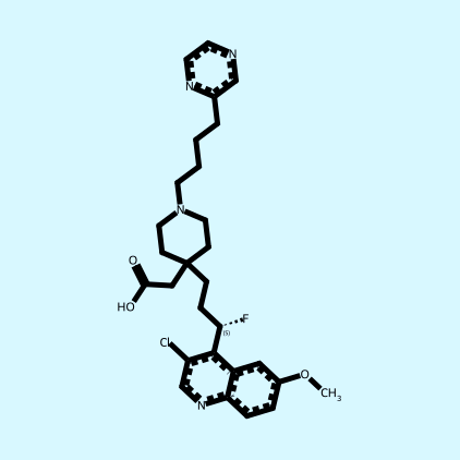 COc1ccc2ncc(Cl)c([C@@H](F)CCC3(CC(=O)O)CCN(CCCCc4cnccn4)CC3)c2c1